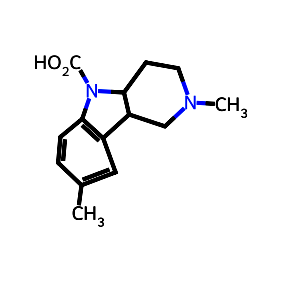 Cc1ccc2c(c1)C1CN(C)CCC1N2C(=O)O